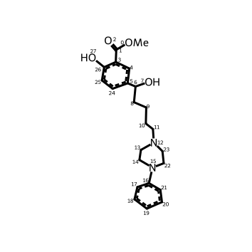 COC(=O)c1cc(C(O)CCCCN2CCN(c3ccccc3)CC2)ccc1O